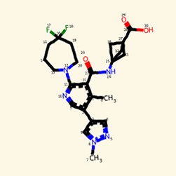 Cc1c(-c2cnn(C)c2)cnc(N2CCCC(F)(F)CC2)c1C(=O)NC12CC(C(=O)O)(C1)C2